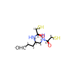 O=[C]CCC(CNC(=O)CS)NC(=O)CS